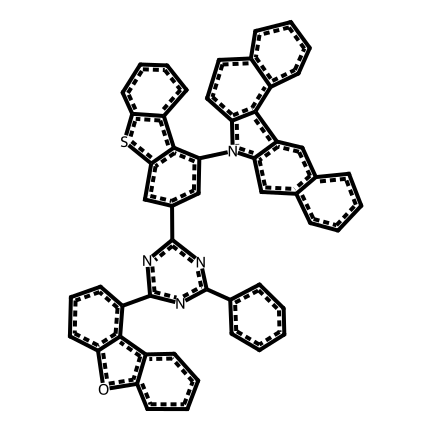 c1ccc(-c2nc(-c3cc(-n4c5cc6ccccc6cc5c5c6ccccc6ccc54)c4c(c3)sc3ccccc34)nc(-c3cccc4oc5ccccc5c34)n2)cc1